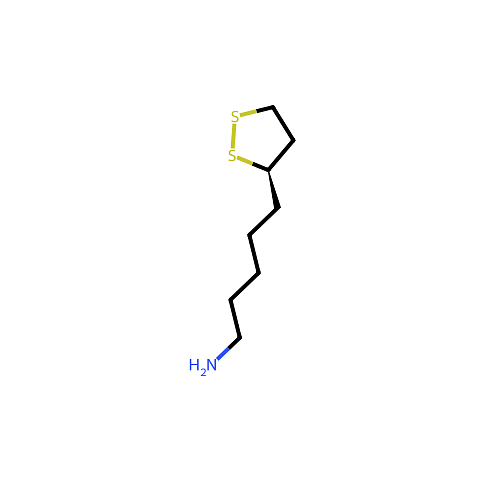 NCCCCC[C@@H]1CCSS1